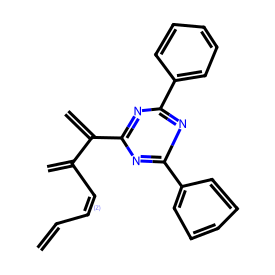 C=C/C=C\C(=C)C(=C)c1nc(-c2ccccc2)nc(-c2ccccc2)n1